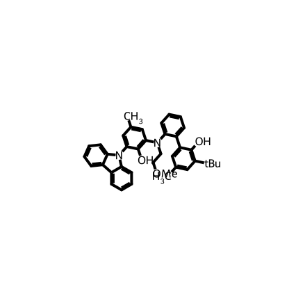 COCCN(c1ccccc1-c1cc(C)cc(C(C)(C)C)c1O)c1cc(C)cc(-n2c3ccccc3c3ccccc32)c1O